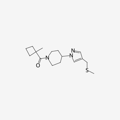 CSCc1cnn(C2CCN(C(=O)C3(C)CCC3)CC2)c1